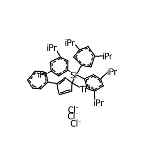 CC(C)c1cc(C(C)C)cc([Si](c2cc(C(C)C)cc(C(C)C)c2)(c2cc(C(C)C)cc(C(C)C)c2)[C]2([Ti+3])C=CC(c3ccccc3)=C2)c1.[Cl-].[Cl-].[Cl-]